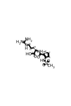 CS(=O)(=O)Nc1ccsc1C(=O)N[C@@H](CCCNC(N)N)C(=O)O